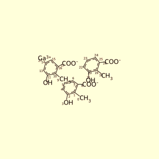 Cc1c(O)cccc1C(=O)[O-].Cc1c(O)cccc1C(=O)[O-].Cc1c(O)cccc1C(=O)[O-].[Ga+3]